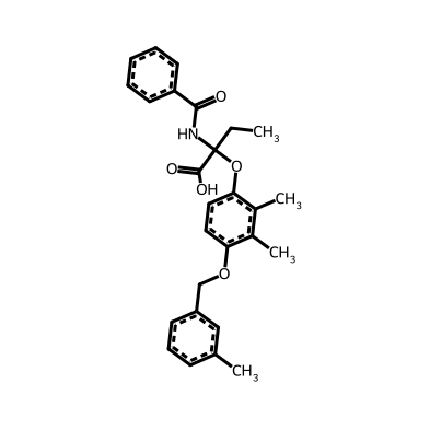 CCC(NC(=O)c1ccccc1)(Oc1ccc(OCc2cccc(C)c2)c(C)c1C)C(=O)O